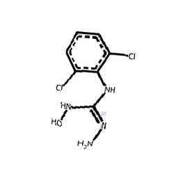 N/N=C(\NO)Nc1c(Cl)cccc1Cl